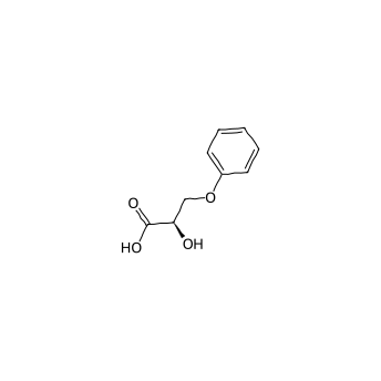 O=C(O)[C@H](O)COc1ccccc1